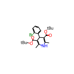 CC1=C(C(=O)OC(C)(C)C)C(c2ccccc2Br)C(C(=O)OC(C)(C)C)=C(C)N1